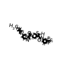 CN1CC2(C1)CN(c1ccc3ncc(C(=O)N4CCc5c(C(=O)Nc6cccc(C(F)(F)F)c6)csc5C4)n3c1)C2